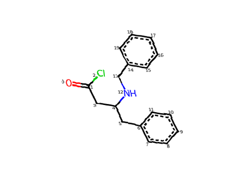 O=C(Cl)CC(Cc1ccccc1)NCc1ccccc1